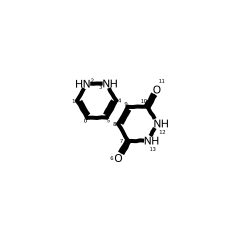 C1=CNNC=C1.O=c1ccc(=O)[nH][nH]1